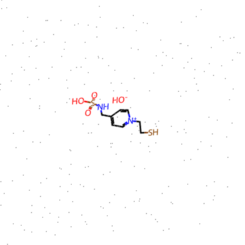 O=S(=O)(O)NCc1cc[n+](CCS)cc1.[OH-]